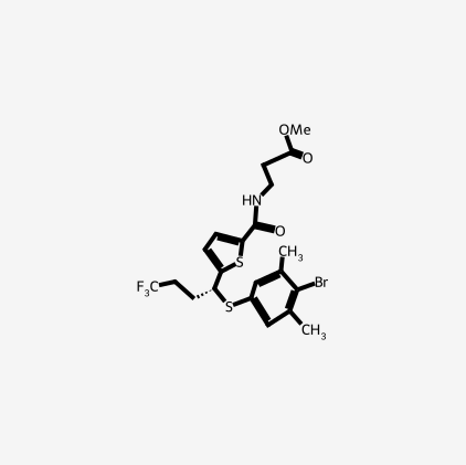 COC(=O)CCNC(=O)c1ccc([C@@H](CCC(F)(F)F)Sc2cc(C)c(Br)c(C)c2)s1